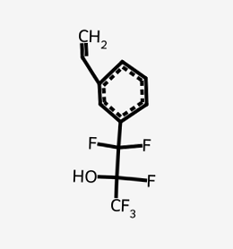 C=Cc1cccc(C(F)(F)C(O)(F)C(F)(F)F)c1